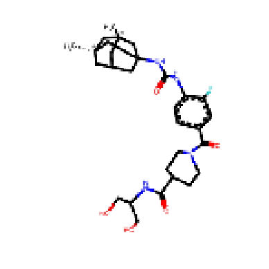 C[C@]12CC3CC(NC(=O)Nc4ccc(C(=O)N5CCC(C(=O)NC(CO)CO)CC5)cc4F)(C1)C[C@@](C)(C3)C2